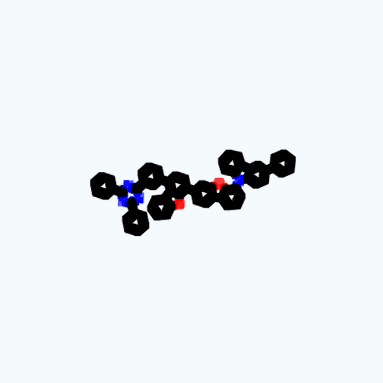 c1ccc(-c2ccc3c(c2)c2ccccc2n3-c2cccc3c2oc2cc(-c4ccc(-c5cccc(-c6nc(-c7ccccc7)nc(-c7ccccc7)n6)c5)c5c4oc4ccccc45)ccc23)cc1